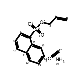 C=CCOS(=O)(=O)c1cccc2ccccc12.C=O.N